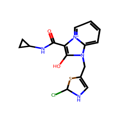 O=C(NC1CC1)c1c(O)n(CC2=CNC(Cl)S2)c2cccc[n+]12